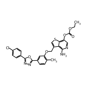 CCOC(=O)Oc1cnc(N)c2c(COc3cc(-c4nnc(-c5ccc(Cl)cc5)o4)ccc3C)csc12